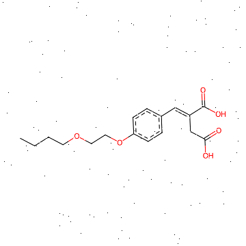 CCCCOCCOc1ccc(/C=C(\CC(=O)O)C(=O)O)cc1